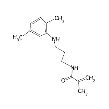 C=C(C)C(=O)NCCCNc1cc(C)ccc1C